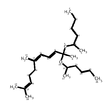 CCCCC(C)OC(C)(C=CC=C(C)CCC=C(C)C)OC(C)CCCC